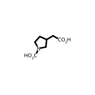 O=C(O)CC1CCN(C(=O)O)C1